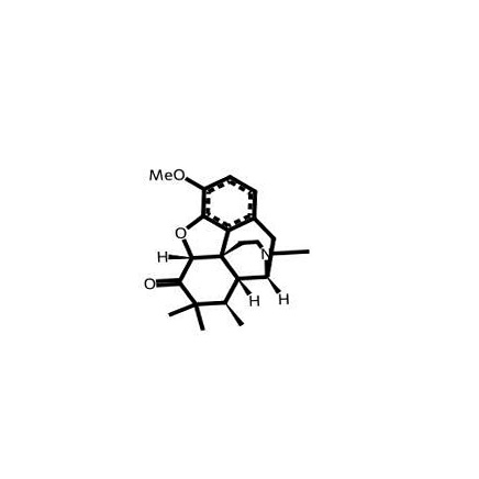 COc1ccc2c3c1O[C@H]1C(=O)C(C)(C)[C@H](C)[C@H]4[C@@H](C2)N(C)CC[C@@]341